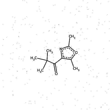 Cc1nc(C(=O)C(C)(C)C)c(C)o1